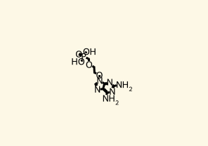 Nc1nc(N)c2ncn(OCCOCP(=O)(O)O)c2n1